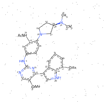 COc1cnc(Nc2ccc(N3CC[C@@H](N(C)C)C3)c(NC(C)=O)c2)nc1-c1c[nH]c2c(OC)cccc12